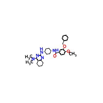 COc1ccc(C(=O)N[C@H]2CC[C@@H](Nc3nc4c(c(N(C)C)n3)CCCC4)CC2)cc1OCc1ccccc1